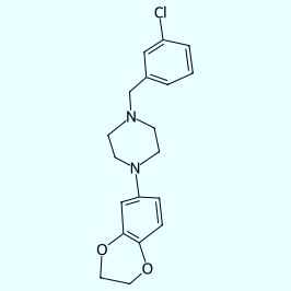 Clc1cccc(CN2CCN(c3ccc4c(c3)OCCO4)CC2)c1